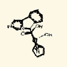 O=C(O)N1CC2CCC(C1)C21C[C@H]([C@H]2c3ccccc3-c3cncn32)[C@@H]1O